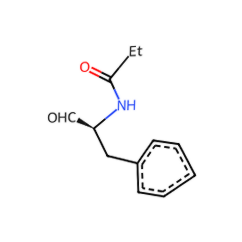 CCC(=O)N[C@H](C=O)Cc1ccccc1